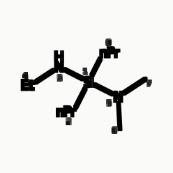 CCC[Si](CCC)(NCC)N(C)C